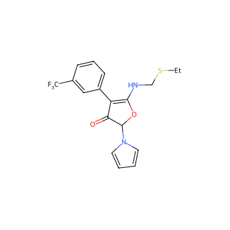 CCSCNC1=C(c2cccc(C(F)(F)F)c2)C(=O)C(n2cccc2)O1